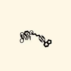 O=C1COc2ccc(OCCCCN3CCN(c4cccc5c4CCC5)CC3)nc2N1